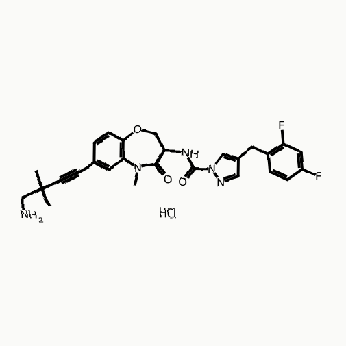 CN1C(=O)C(NC(=O)n2cc(Cc3ccc(F)cc3F)cn2)COc2ccc(C#CC(C)(C)CN)cc21.Cl